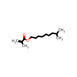 C=C(C)C(=O)OCCCCCCCC(C)C